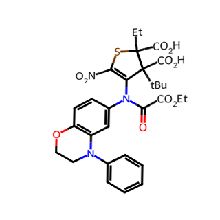 CCOC(=O)C(=O)N(C1=C([N+](=O)[O-])SC(CC)(C(=O)O)C1(C(=O)O)C(C)(C)C)c1ccc2c(c1)N(c1ccccc1)CCO2